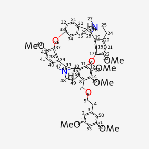 COc1cc(CCOCc2c3c4c(c(OC)c2OC)Oc2cc5c(cc2OC)CCN(C)[C@H]5Cc2ccc(cc2)Oc2cc(ccc2OC)C[C@@H]4N(C)CC3)cc(OC)c1